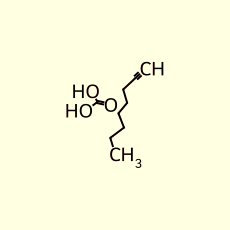 C#CCCCCCC.O=C(O)O